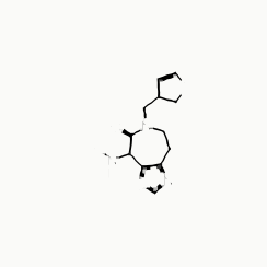 CNC1C(=O)N(CC2C=CSC2)CCc2ncoc21